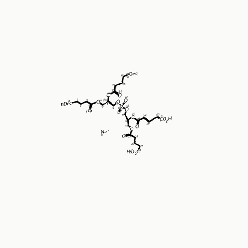 CCCCCCCCCCCCCC(=O)OC[C@H](COP(=O)([O-])OCC(COC(=O)CCCC(=O)O)OC(=O)CCCC(=O)O)OC(=O)CCCCCCCCCCCCC.[Na+]